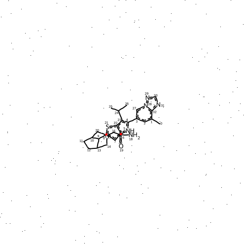 Cc1cc(-c2[nH]c3cc(C4C5CCC4CN(CC(N)=O)C5)sc3c2C(C)C)cn2ncnc12